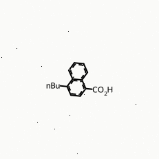 CCCCc1ccc(C(=O)O)c2ccccc12